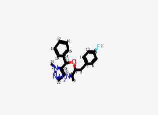 CC(N)C(Cc1ccc(F)cc1)OC(c1ccccc1)c1ccnn1C